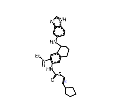 CCNc1cc2c(cc1NC(=O)S/C=C/C1CCCC1)CCCC2Nc1ccc2[nH]cnc2c1